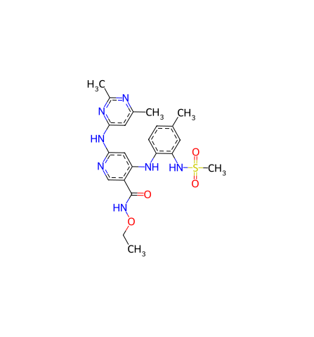 CCONC(=O)c1cnc(Nc2cc(C)nc(C)n2)cc1Nc1ccc(C)cc1NS(C)(=O)=O